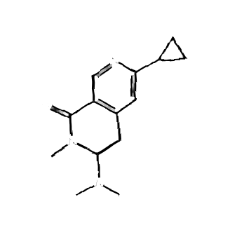 CN(C)C1Cc2cc(C3CC3)ncc2C(=O)N1C